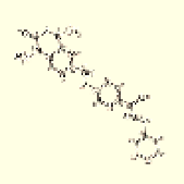 CN1CC(=O)N(C)c2cnc(NCc3ccc(C(=O)NCc4ccccc4)cc3)nc21